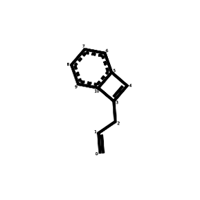 C=CCC1=Cc2ccccc21